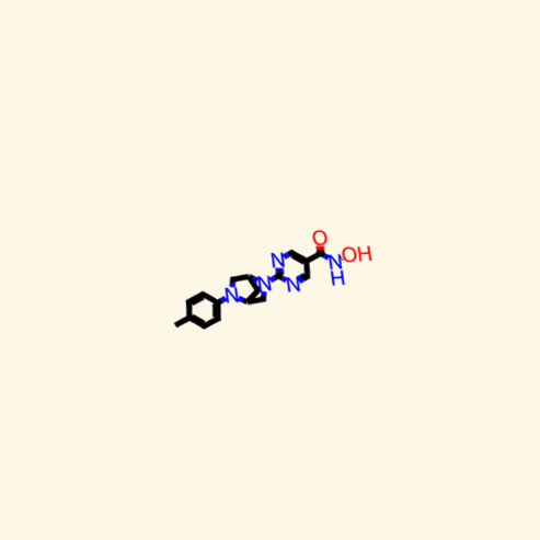 Cc1ccc(N2CC3CC2CN3c2ncc(C(=O)NO)cn2)cc1